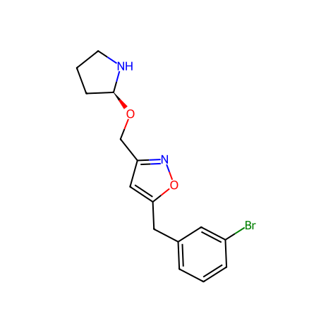 Brc1cccc(Cc2cc(CO[C@H]3CCCN3)no2)c1